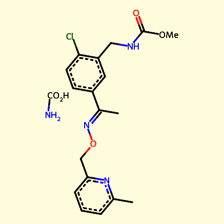 COC(=O)NCc1cc(/C(C)=N/OCc2cccc(C)n2)ccc1Cl.NC(=O)O